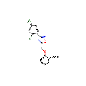 COc1ccccc1OCc1nc(-c2ccc(Cl)cc2Cl)no1